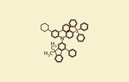 CC1(C)c2ccccc2-c2c(-c3ccccc3)cc(N(c3ccc(S(c4ccccc4)(c4ccccc4)c4ccccc4)cc3)c3ccc(C4CCCCC4)cc3-c3ccccc3)cc21